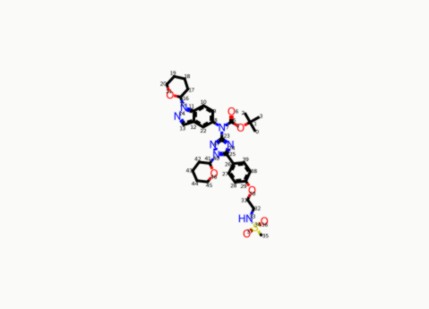 CC(C)(C)OC(=O)N(c1ccc2c(cnn2C2CCCCO2)c1)c1nc(-c2ccc(OCCNS(C)(=O)=O)cc2)n(C2CCCCO2)n1